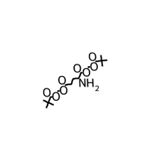 CC(C)(C)C(=O)OCOC(=O)CCC(N)C(=O)OCOC(=O)C(C)(C)C